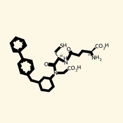 N[C@@H](CCC(=O)N[C@@H](CS)C(=O)N(CC(=O)O)C1CCCC(Cc2ccc(-c3ccccc3)cc2)C1)C(=O)O